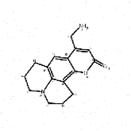 NCc1cc(=O)oc2c3c4c(cc12)CCCN4CCC3